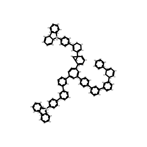 C1=CC(c2cccc(-c3cccc(-c4ccc(-n5c6ccccc6c6ccccc65)cc4)c3)c2)=CC(c2ccc(-c3cccc(-c4cccc(C5C=CC=C(c6ccccc6)C5)c4)c3)cc2)=CC=1C1=CC=CC2(C3=CCCC(c4ccc(N5c6ccccc6C6C=CC=CC65)cc4)=C3)CC12